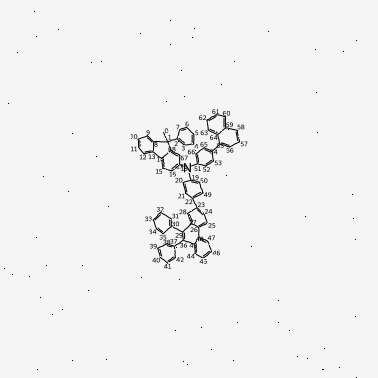 CC1(c2ccccc2)c2ccccc2-c2ccc(N(c3ccc(-c4ccc5c(c4)c(-c4ccccc4)c(-c4ccccc4)c4ccccc45)cc3)c3ccc(-c4cccc5ccccc45)cc3)cc21